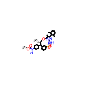 Cc1cccc(C)c1-c1nc2nc(c1C)OC[C@@H](CC(C)C)C(C1CCC(NC(=O)OC(C)C)CC1)c1cccc(c1)S(=O)(=O)N2